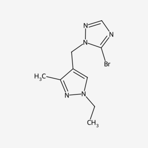 CCn1cc(Cn2ncnc2Br)c(C)n1